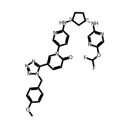 COc1ccc(Cn2nnnc2-c2ccc(=O)n(-c3ccc(N[C@H]4CC[C@H](Nc5cnc(OC(F)F)cn5)C4)nc3)c2)cc1